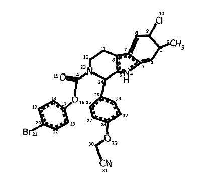 CC1C=c2[nH]c3c(c2=CC1Cl)CCN(C(=O)Oc1ccc(Br)cc1)C3c1ccc(OCC#N)cc1